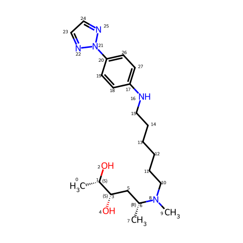 C[C@H](O)[C@@H](O)C[C@@H](C)N(C)CCCCCCNc1ccc(-n2nccn2)cc1